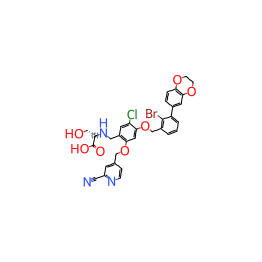 N#Cc1cc(COc2cc(OCc3cccc(-c4ccc5c(c4)OCCO5)c3Br)c(Cl)cc2CN[C@@H](CO)C(=O)O)ccn1